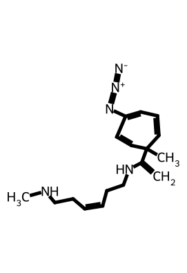 C=C(NCC/C=C\CCNC)C1(C)C=CC=C(N=[N+]=[N-])C=C1